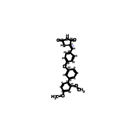 COc1ccc(-c2cccc(Oc3ccc(/C=C4\SC(=O)NC4=O)cc3)c2)c(OC)c1